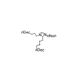 CCCCCCCCCCCCCCC1N(CCCCCCCCC)C=CN1CCCCCCCCCCCCC